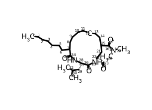 CCCCCCCC1CCCCCCCC(C(=O)N(C)C)C[C@H](C=O)NC(=O)[C@H](CC(C)C)NC1=O